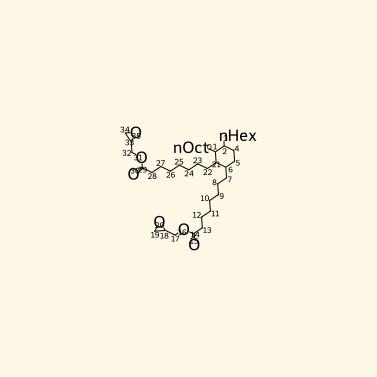 CCCCCCCCC1C(CCCCCC)CCC(CCCCCCCC(=O)OCC2CO2)C1CCCCCCCC(=O)OCC1CO1